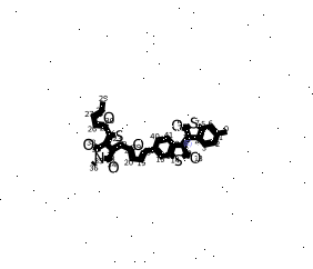 Cc1ccc2c(c1)SC(=O)/C2=C1/C(=O)Sc2cc(-c3ccc(-c4sc(-c5ccc(C)o5)c5c4C(=O)N(C)C5=O)o3)ccc21